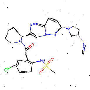 C=N[C@H]1CCN(c2ccc3nc([C@@H]4CCCCN4C(=O)c4cc(Cl)ccc4NS(C)(=O)=O)cn3n2)C1